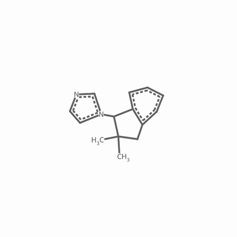 CC1(C)Cc2ccccc2C1n1ccnc1